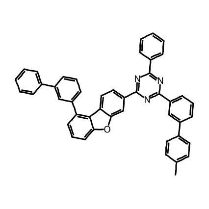 Cc1ccc(-c2cccc(-c3nc(-c4ccccc4)nc(-c4ccc5c(c4)oc4cccc(-c6cccc(-c7ccccc7)c6)c45)n3)c2)cc1